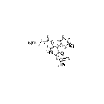 CC1=C(OC(=O)OCCC#N)C(c2cccc(Cl)c2)C(OC(=O)OC(C)C)=C(C)N1